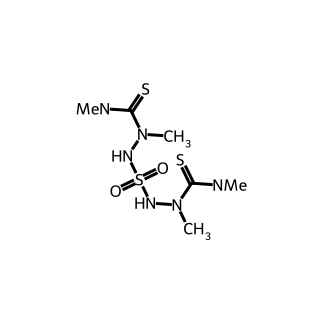 CNC(=S)N(C)NS(=O)(=O)NN(C)C(=S)NC